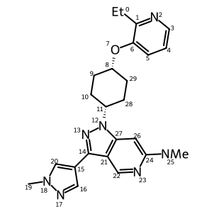 CCc1ncccc1O[C@H]1CC[C@@H](n2nc(-c3cnn(C)c3)c3cnc(NC)cc32)CC1